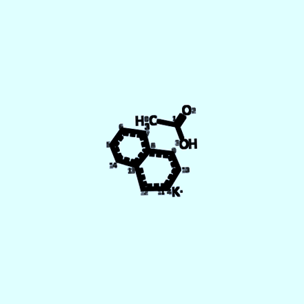 CC(=O)O.[K].c1ccc2ccccc2c1